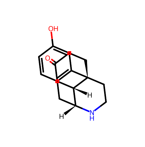 O=C1CC[C@]23CCN[C@H](Cc4ccc(O)cc42)[C@@H]3C1